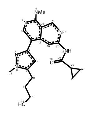 CNc1ncc(-c2cc(CCCO)n(C)n2)c2cc(NC(=O)C3CC3)ncc12